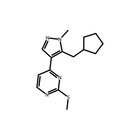 CSc1nccc(-c2cnn(C)c2CC2CCCC2)n1